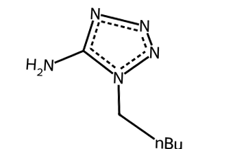 CCCCCn1nnnc1N